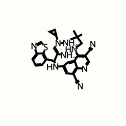 CC(C)(C)CNc1c(C#N)cnc2c(C#N)cc(NC(/C(N)=C/N(N)C3CC3)c3cccc4ncsc34)cc12